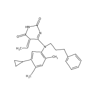 CC=C1C(=O)NC(=O)N=C1N(CCCc1ccccc1)c1cc(C2CC2)c(C)cc1C